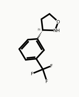 FC(F)(F)c1cccc([C@@H]2CCON2)c1